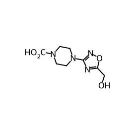 O=C(O)N1CCN(c2noc(CO)n2)CC1